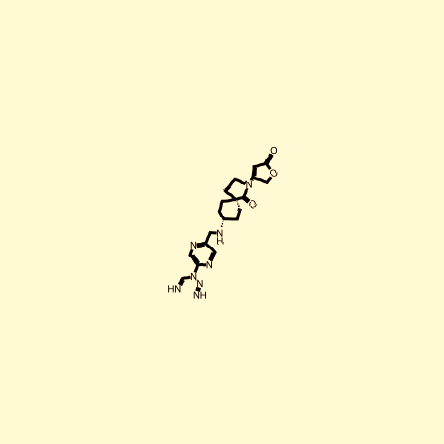 N=CN(N=N)c1cnc(CN[C@H]2CC[C@@]3(CCN(C4=CC(=O)OC4)C3=O)CC2)cn1